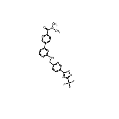 CN(C)C(=O)c1ccc(-c2ccnc(NCc3ccc(-c4noc(C(F)(F)F)n4)cn3)n2)cn1